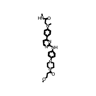 CNC(=O)CN(C)c1ccc(-c2ccnc(Nc3ccc(N4CCN(C(=O)CCOC)CC4)cc3)n2)cc1